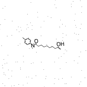 C=C(O)CCCCCCCC(=O)N(C)c1ccc(C)cc1